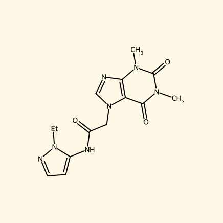 CCn1nccc1NC(=O)Cn1cnc2c1c(=O)n(C)c(=O)n2C